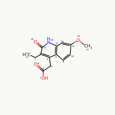 CCc1c(CC(=O)O)c2ccc(OC)cc2[nH]c1=O